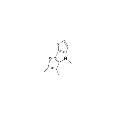 Cc1sc2c3sccc3n(C)c2c1C